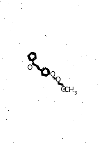 COCCOCOc1ccc(/C=C/C(=O)c2ccccc2)cc1